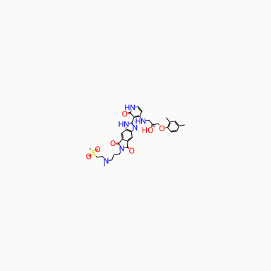 Cc1ccc(OC[C@H](O)CNc2cc[nH]c(=O)c2-c2nc3cc4c(cc3[nH]2)C(=O)N(CCCN(C)CCS(C)(=O)=O)C4=O)c(C)c1